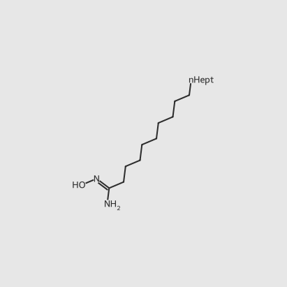 CCCCCCCCCCCCCCCCC(N)=NO